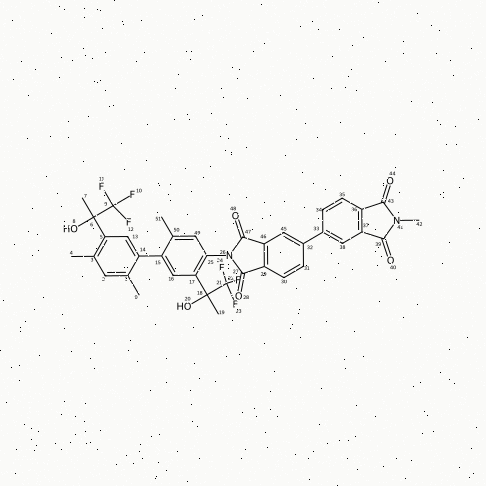 Cc1cc(C)c(C(C)(O)C(F)(F)F)cc1-c1cc(C(C)(O)C(F)(F)F)c(N2C(=O)c3ccc(-c4ccc5c(c4)C(=O)N(C)C5=O)cc3C2=O)cc1C